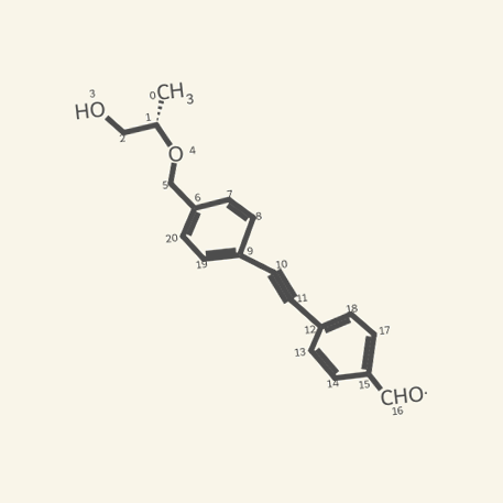 C[C@@H](CO)OCc1ccc(C#Cc2ccc([C]=O)cc2)cc1